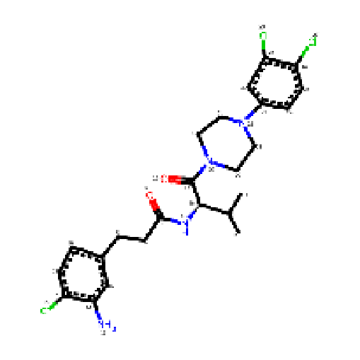 CC(C)[C@@H](NC(=O)CCc1ccc(Cl)c(N)c1)C(=O)N1CCN(c2ccc(Cl)c(Cl)c2)CC1